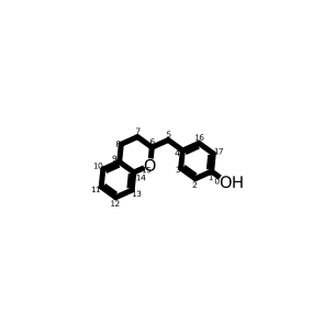 Oc1ccc(CC2CCc3ccccc3O2)cc1